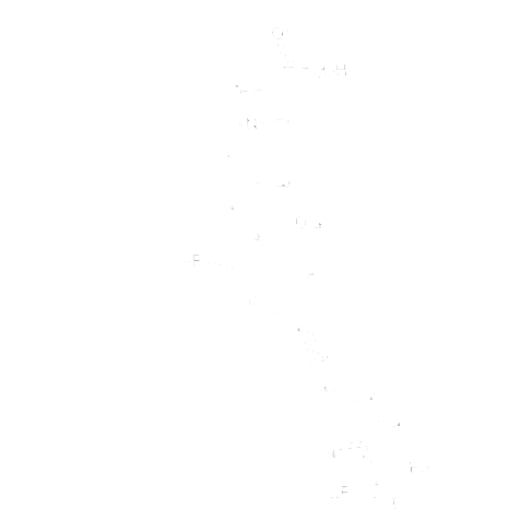 O=C(O)C1CN(CC2=Cc3c(F)cc(C#Cc4ccc(C(F)(F)F)cc4)cc3OC2)C1